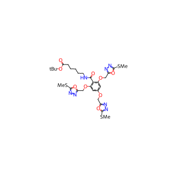 CSc1nnc(COc2cc(OCc3nnc(SC)o3)c(C(=O)NCCCCCC(=O)OC(C)(C)C)c(OCc3nnc(SC)o3)c2)o1